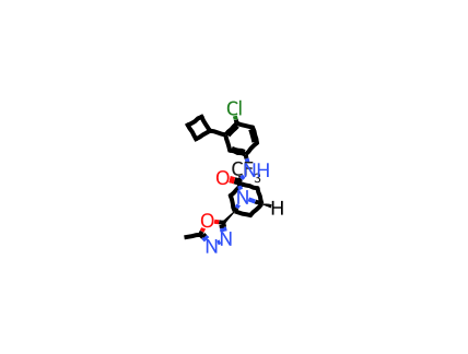 Cc1nnc([C@@]23C[C@@H](C[C@@H](C(F)(F)F)C2)N3C(=O)Nc2ccc(Cl)c(C3CCC3)c2)o1